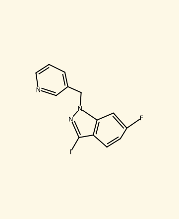 Fc1ccc2c(I)nn(Cc3cccnc3)c2c1